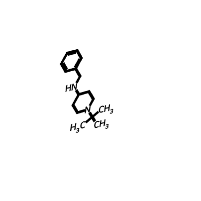 CC(C)(C)N1CCC(NCc2ccccc2)CC1